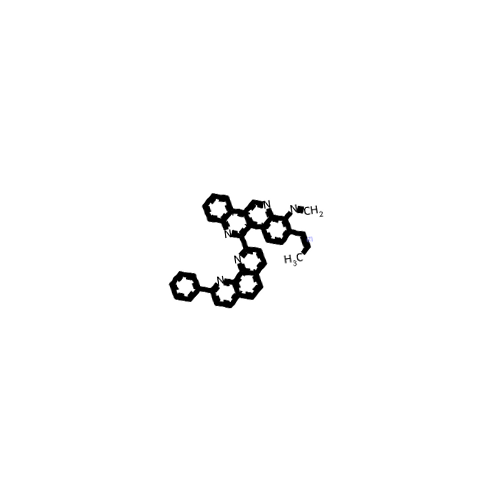 C=Nc1c(/C=C\C)ccc2c1ncc1c3ccccc3nc(-c3ccc4ccc5ccc(-c6ccccc6)nc5c4n3)c21